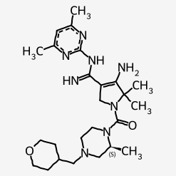 Cc1cc(C)nc(NC(=N)C2=C(N)C(C)(C)N(C(=O)N3CCN(CC4CCOCC4)C[C@@H]3C)C2)n1